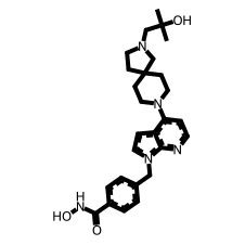 CC(C)(O)CN1CCC2(CCN(c3ccnc4c3ccn4Cc3ccc(C(=O)NO)cc3)CC2)C1